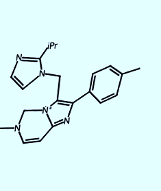 Cc1ccc(C2=C(Cn3ccnc3C(C)C)[N+]3CN(C)C=CC3=N2)cc1